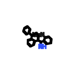 CNc1ccccc1C(=N)c1ccc(-c2ccccc2)c2ccccc12